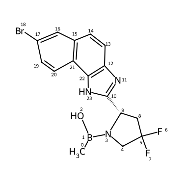 CB(O)N1CC(F)(F)C[C@H]1c1nc2ccc3cc(Br)ccc3c2[nH]1